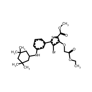 CCOC(=O)COc1c(C(=O)OC)sc(-c2cccc(NC3CC(C)(C)CC(C)(C)C3)c2)c1Br